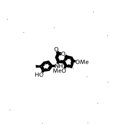 COc1cc(OC)c2c(Nc3ccc(C)c(O)c3)cc(=O)oc2c1